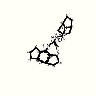 CCN1CC2CCC(C1)N2SNC(=O)Nc1c2c(cc3c1CCC3)CCC2